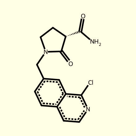 NC(=O)[C@H]1CCN(Cc2ccc3ccnc(Cl)c3c2)C1=O